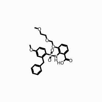 COCCOCOc1cccc(C(=O)O)c1NS(=O)(=O)c1ccc(OC)cc1Cc1ccccc1